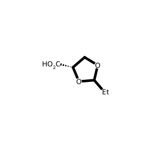 CCC1OC[C@@H](C(=O)O)O1